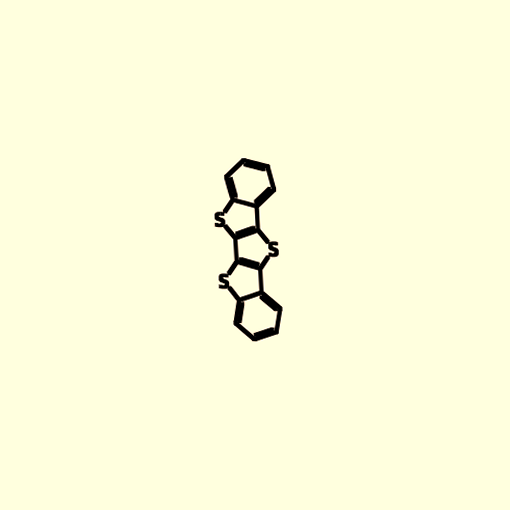 c1ccc2c(c1)sc1c2sc2c3ccccc3sc21